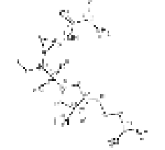 CCN(C1C[C@@H]1NC(=O)[C@H](C)N)S(=O)(=O)N1C[C@H](CCCB(O)O)[C@@](C)(N)C1